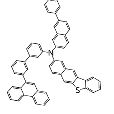 c1ccc(-c2ccc3ccc(N(c4cccc(-c5cccc(-c6cc7ccccc7c7ccccc67)c5)c4)c4ccc5cc6sc7ccccc7c6cc5c4)cc3c2)cc1